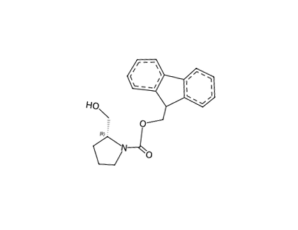 O=C(OCC1c2ccccc2-c2ccccc21)N1CCC[C@@H]1CO